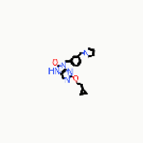 O=c1[nH]c2cnc(OCCC3CC3)nc2n1Cc1cccc(CN2CCCC2)c1